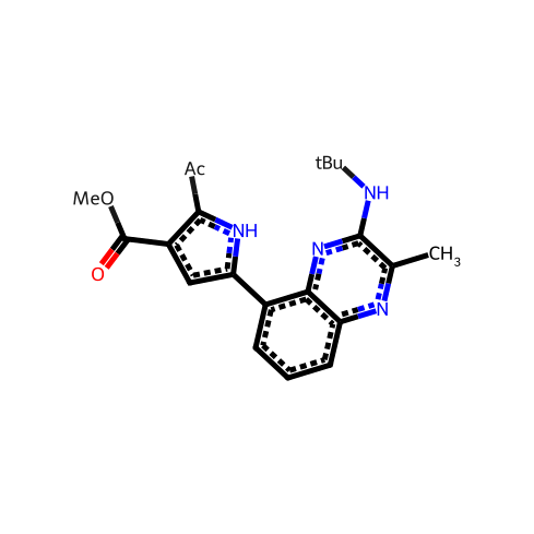 COC(=O)c1cc(-c2cccc3nc(C)c(NC(C)(C)C)nc23)[nH]c1C(C)=O